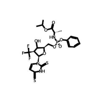 CC(C)OC(=O)[C@H](C)NP(=O)(OC[C@H]1O[C@@H](n2ccc(=S)[nH]c2=S)[C@@H](C(F)(F)F)C1O)Oc1ccccc1